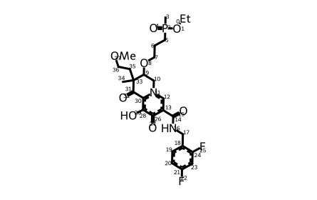 CCOP(C)(=O)CCCOC1Cn2cc(C(=O)NCc3ccc(F)cc3F)c(=O)c(O)c2C(=O)C1(C)CCOC